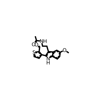 COc1ccc2[nH]c(-c3ccsc3C=O)c(CCNC(C)=O)c2c1